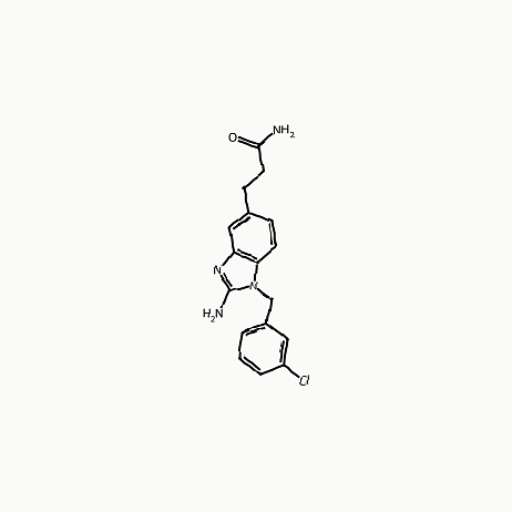 NC(=O)CCc1ccc2c(c1)nc(N)n2Cc1cccc(Cl)c1